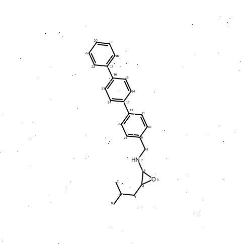 CC(C)CC1OC1NCc1ccc(-c2ccc(-c3ccccc3)cc2)cc1